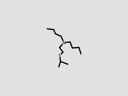 CCCCN(CCCC)CCSC(C)C